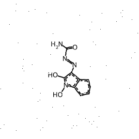 NC(=O)N=Nc1c(O)n(O)c2ccccc12